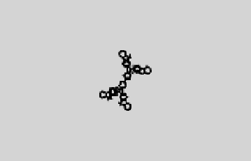 CC1(C)c2ccccc2-c2ccc(N(c3ccc(-c4ccc(N(c5ccc6c(c5)C(C)(C)c5ccccc5-6)c5ccc6c(c5)C(C)(C)c5ccccc5-6)cc4)cc3)c3ccc4c(c3)Cc3ccccc3-4)cc21